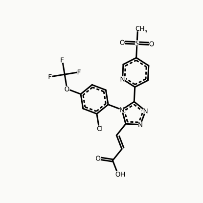 CS(=O)(=O)c1ccc(-c2nnc(C=CC(=O)O)n2-c2ccc(OC(F)(F)F)cc2Cl)nc1